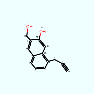 C#CCc1cccc2cc(CO)c(O)cc12